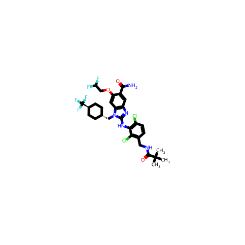 CC(C)(C)C(=O)NCc1ccc(Cl)c(Nc2nc3cc(C(N)=O)c(OCC(F)F)cc3n2C[C@H]2CC[C@H](C(F)(F)F)CC2)c1Cl